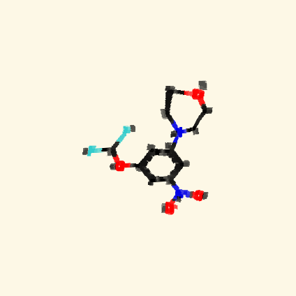 O=[N+]([O-])c1cc(OC(F)F)cc(N2CCOCC2)c1